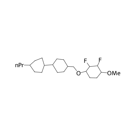 CCCC1CCC(C2CCC(COC3CCC(OC)C(F)C3F)CC2)CC1